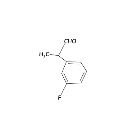 CC([C]=O)c1cccc(F)c1